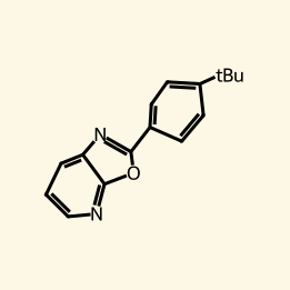 CC(C)(C)c1ccc(-c2nc3cccnc3o2)cc1